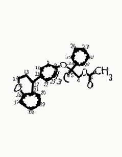 CC(=O)OCC(C)(Oc1ccc(C2CCOc3ccccc32)cc1)c1ccccc1